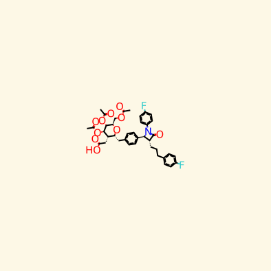 CC(=O)OC[C@H]1O[C@H](Cc2ccc([C@@H]3[C@@H](CCCc4ccc(F)cc4)C(=O)N3c3ccc(F)cc3)cc2)[C@H](CC(=O)O)[C@@H](OC(C)=O)[C@H]1OC(C)=O